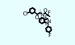 C[C@H](NC(=O)C(C)(F)F)[C@@H](Oc1ccc2c(cnn2-c2ccc(F)cc2)c1)c1cccc(Cl)c1